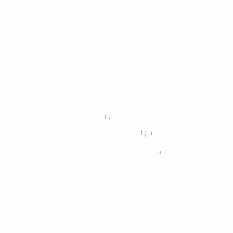 CC(C)NC(C)N1CCCCC1